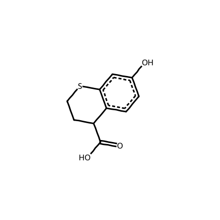 O=C(O)C1CCSc2cc(O)ccc21